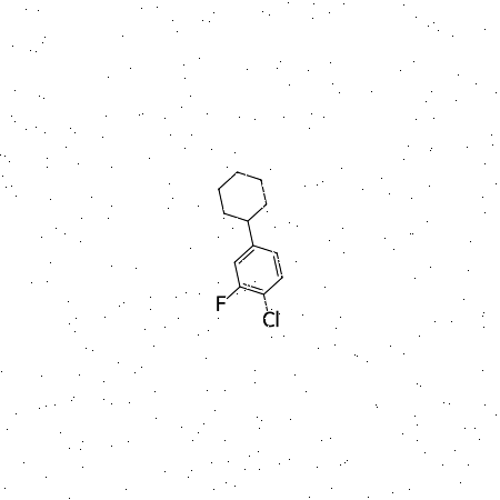 Fc1cc(C2CCCCC2)ccc1Cl